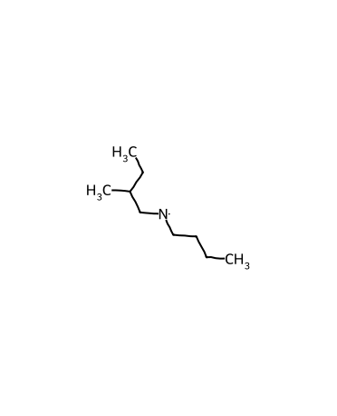 CCCC[N]CC(C)CC